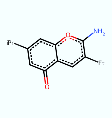 CCc1cc2c(=O)cc(C(C)C)cc-2oc1N